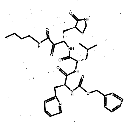 CCCCNC(=O)C(=O)[C@H](C[C@@H]1CCNC1=O)NC(=O)[C@H](CC(C)C)NC(=O)[C@H](Cc1ccccn1)NC(=O)OCc1ccccc1